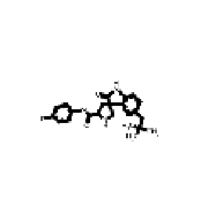 CC(C)(C)Cc1ccc2c(c1)C1(CNC(C(=O)Nc3ccc(F)cc3)C1)C(=O)N2